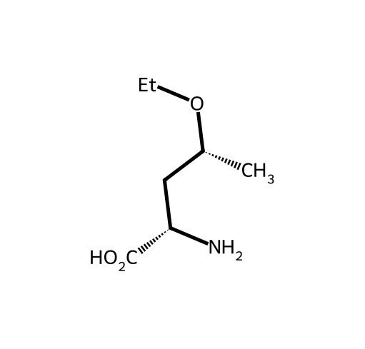 CCO[C@H](C)C[C@H](N)C(=O)O